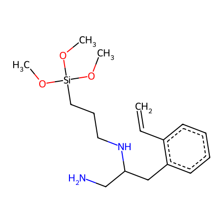 C=Cc1ccccc1CC(CN)NCCC[Si](OC)(OC)OC